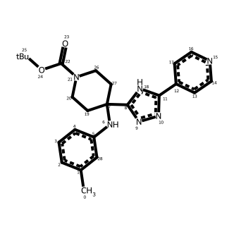 Cc1cccc(NC2(c3nnc(-c4ccncc4)[nH]3)CCN(C(=O)OC(C)(C)C)CC2)c1